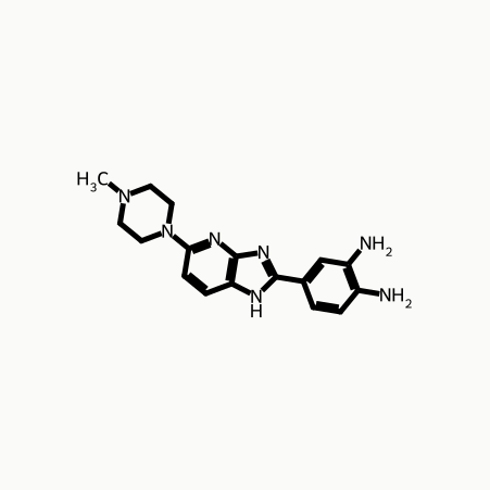 CN1CCN(c2ccc3[nH]c(-c4ccc(N)c(N)c4)nc3n2)CC1